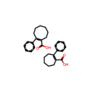 O=C(O)C1=C(c2ccccc2)CCCCC1.O=C(O)C1=C(c2ccccc2)CCCCCC1